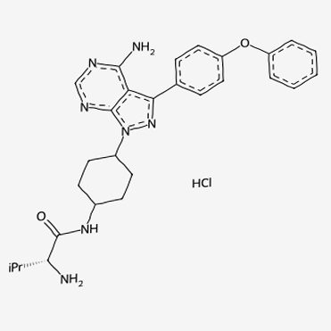 CC(C)[C@@H](N)C(=O)NC1CCC(n2nc(-c3ccc(Oc4ccccc4)cc3)c3c(N)ncnc32)CC1.Cl